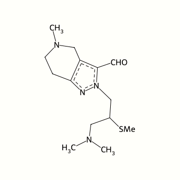 CSC(CN(C)C)Cn1nc2c(c1C=O)CN(C)CC2